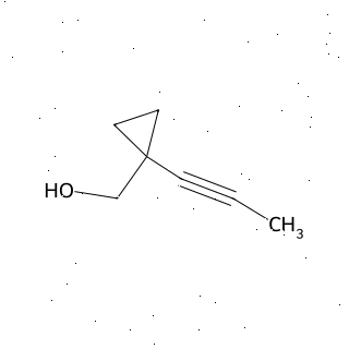 CC#CC1(CO)CC1